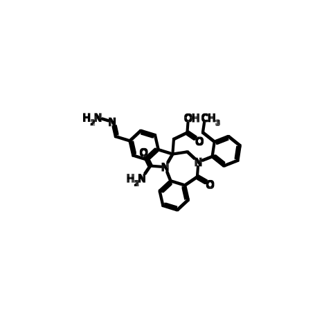 CCc1ccccc1N1CC(CC(=O)O)(c2ccc(C=NN)cc2)N(C(N)=O)c2ccccc2C1=O